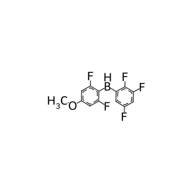 COc1cc(F)c(Bc2cc(F)cc(F)c2F)c(F)c1